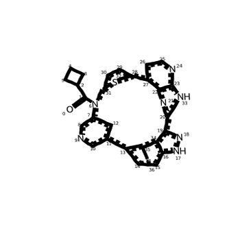 O=C(C1CCC1)n1c2cncc(c2)c2ccc3[nH]nc(c4nc5c(nccc5c5ccc1s5)[nH]4)c3c2F